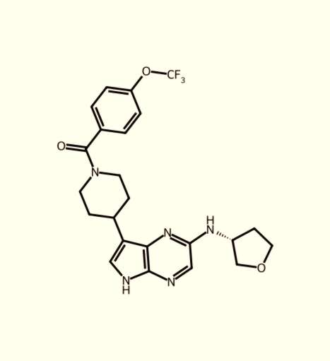 O=C(c1ccc(OC(F)(F)F)cc1)N1CCC(c2c[nH]c3ncc(N[C@@H]4CCOC4)nc23)CC1